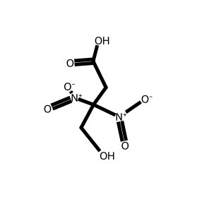 O=C(O)CC(CO)([N+](=O)[O-])[N+](=O)[O-]